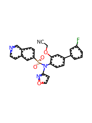 N#CCOc1cc(-c2cccc(F)c2)ccc1N(c1ccon1)S(=O)(=O)c1ccc2cnccc2c1